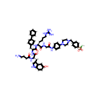 N=C(N)NCCCC[C@H](NC(=O)[C@H](Cc1ccc(-c2ccccc2)cc1)NC(=O)[C@H](Cc1c[nH]c2ccc(O)cc12)NC(=O)CCCN)C(=O)NCC(=O)Nc1ccc(N2CCN(Cc3ccc(S(=O)(=O)F)cc3)CC2)cc1